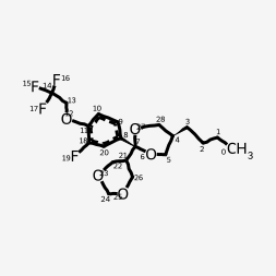 CCCC[C@H]1CO[C@](c2ccc(OCC(F)(F)F)c(F)c2)(C2COCOC2)OC1